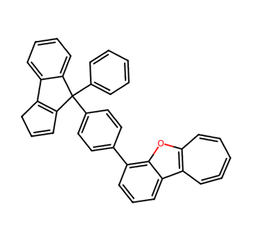 C1=CC=Cc2oc3c(-c4ccc(C5(c6ccccc6)C6=C(CC=C6)c6ccccc65)cc4)cccc3c2C=1